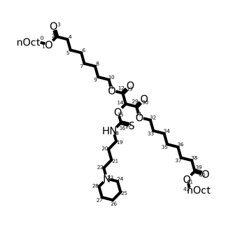 CCCCCCCCOC(=O)CCCCCCCOC(=O)C(OC(=S)NCCCCN1CCCCC1)C(=O)OCCCCCCCC(=O)OCCCCCCCC